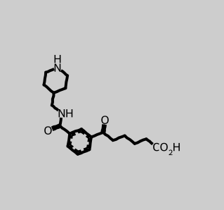 O=C(O)CCCCC(=O)c1cccc(C(=O)NCC2CCNCC2)c1